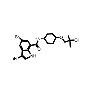 CC(C)c1c[nH]c2c(C(=O)N[C@H]3CC[C@H](OCC(C)(C)O)CC3)cc(Br)cc12